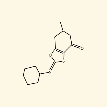 CC1CC(=O)c2sc(=NC3CCCCC3)oc2C1